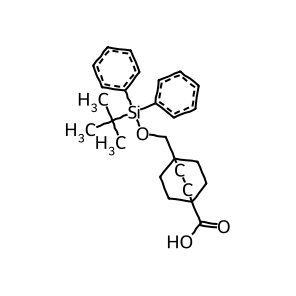 CC(C)(C)[Si](OCC12CCC(C(=O)O)(CC1)CC2)(c1ccccc1)c1ccccc1